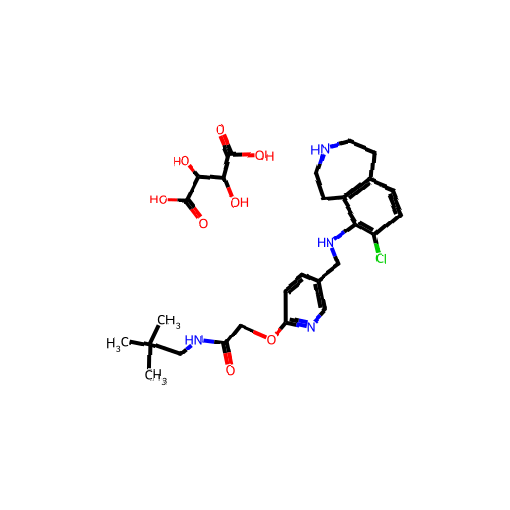 CC(C)(C)CNC(=O)COc1ccc(CNc2c(Cl)ccc3c2CCNCC3)cn1.O=C(O)C(O)C(O)C(=O)O